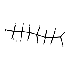 CC(F)C(F)(F)C(F)(F)C(F)(F)C(F)(F)C(F)(F)C(F)(F)[SiH2]